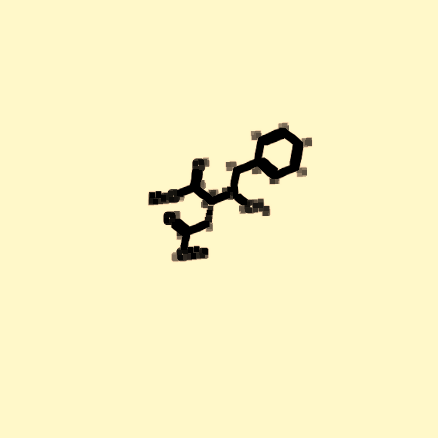 COC(=O)C[C@H](C(=O)OC)N(C)Cc1ccccc1